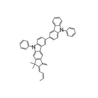 C=C1/C(=C\C=C/C)C(C)(C)c2cc3c(cc21)c1cc(-c2ccc4c(c2)c2ccccc2n4-c2ccccc2)ccc1n3-c1ccccc1